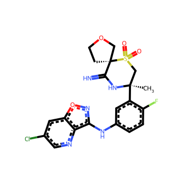 C[C@@]1(c2cc(Nc3noc4cc(Cl)cnc34)ccc2F)CS(=O)(=O)[C@@]2(CCOC2)C(=N)N1